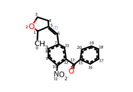 CC1OCC/C1=C/c1ccc([N+](=O)[O-])c(C(=O)c2ccccc2)c1